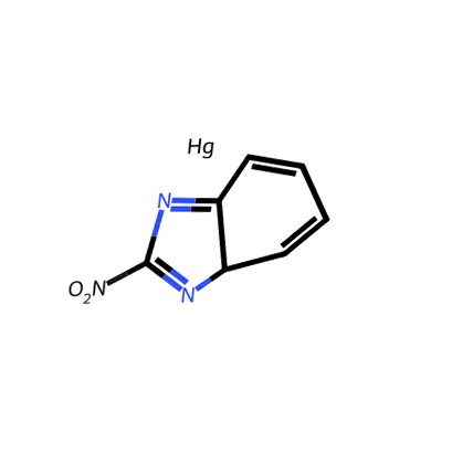 O=[N+]([O-])C1=NC2C=CC=CC2=N1.[Hg]